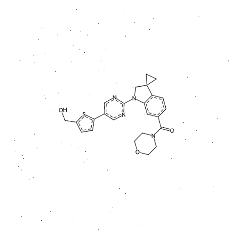 O=C(c1ccc2c(c1)N(c1ncc(-c3ccc(CO)s3)cn1)CC21CC1)N1CCOCC1